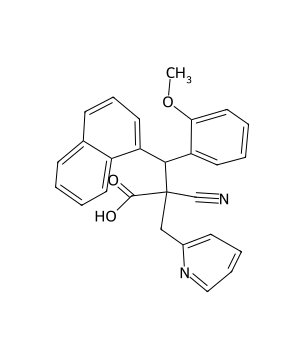 COc1ccccc1C(c1cccc2ccccc12)C(C#N)(Cc1ccccn1)C(=O)O